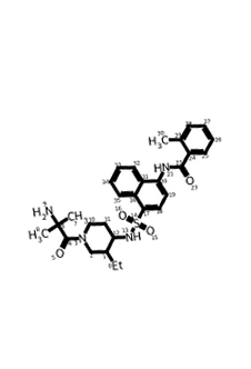 CCC1CN(C(=O)C(C)(C)N)CCC1NS(=O)(=O)c1ccc(NC(=O)c2ccccc2C)c2ccccc12